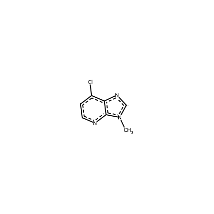 Cn1[c]nc2c(Cl)ccnc21